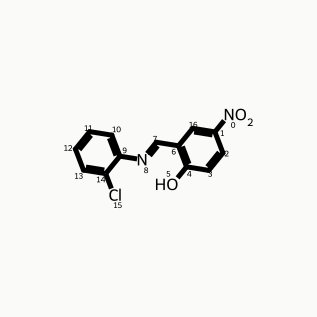 O=[N+]([O-])c1ccc(O)c(/C=N/c2ccccc2Cl)c1